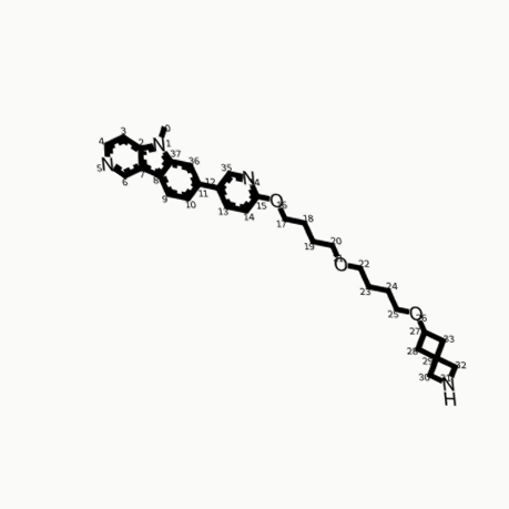 Cn1c2ccncc2c2ccc(-c3ccc(OCCCCOCCCCOC4CC5(CNC5)C4)nc3)cc21